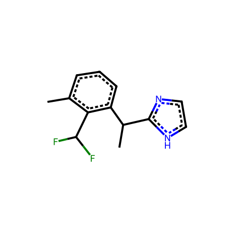 Cc1cccc(C(C)c2ncc[nH]2)c1C(F)F